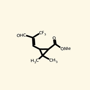 COC(=O)C1C(/C=C(/C=O)C(F)(F)F)C1(C)C